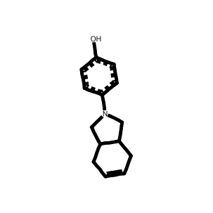 Oc1ccc(N2CC3CC=CCC3C2)cc1